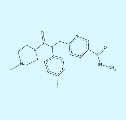 CN1CCN(C(=O)N(Cc2ccc(C(=O)NN)cn2)c2ccc(F)cc2)CC1